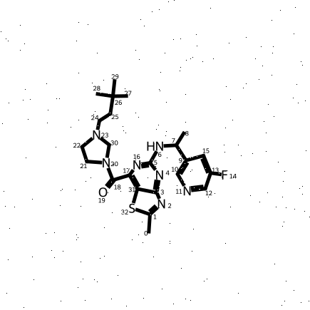 Cc1nc2nc(NC(C)c3cncc(F)c3)nc(C(=O)N3CCN(CCC(C)(C)C)C3)c2s1